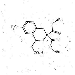 CC(C)(C)OC(=O)C1(C(=O)OC(C)(C)C)Cc2ccc(C(F)(F)F)cc2C(CC(=O)O)C1